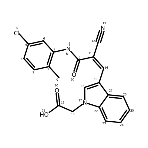 Cc1ccc(Cl)cc1NC(=O)C(C#N)=Cc1cn(CC(=O)O)c2ccccc12